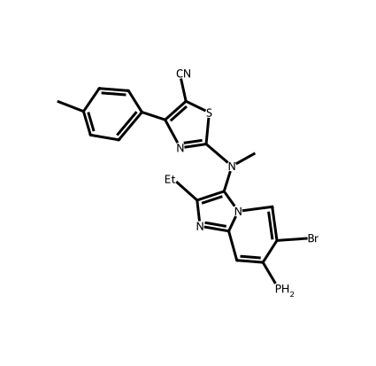 CCc1nc2cc(P)c(Br)cn2c1N(C)c1nc(-c2ccc(C)cc2)c(C#N)s1